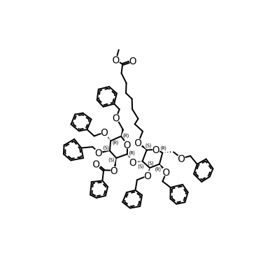 COC(=O)CCCCCCCCO[C@H]1O[C@H](COCc2ccccc2)[C@@H](OCc2ccccc2)[C@H](OCc2ccccc2)[C@@H]1O[C@H]1O[C@H](COCc2ccccc2)[C@@H](OCc2ccccc2)[C@H](OCc2ccccc2)[C@@H]1OC(=O)c1ccccc1